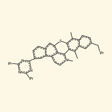 Cc1c2c(c(C)c3cc(CC(C)C)ccc13)-c1c3c(cc4ccc(-c5nc(C(C)C)nc(C(C)C)n5)cc4c3cc[n+]1C)S2